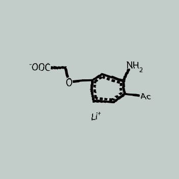 CC(=O)c1ccc(OCC(=O)[O-])cc1N.[Li+]